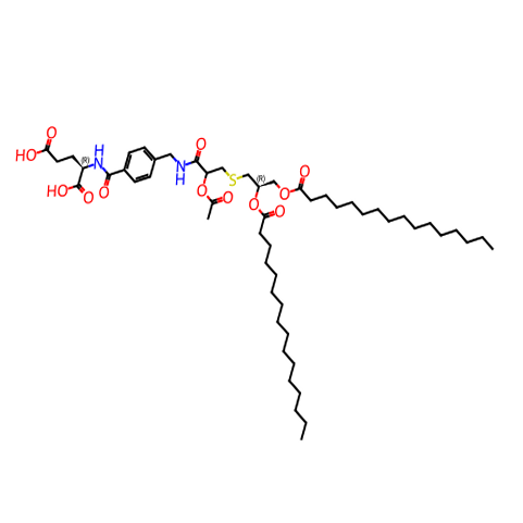 CCCCCCCCCCCCCCCC(=O)OC[C@H](CSCC(OC(C)=O)C(=O)NCc1ccc(C(=O)N[C@H](CCC(=O)O)C(=O)O)cc1)OC(=O)CCCCCCCCCCCCCCC